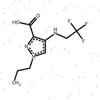 CCCn1cc(NCC(F)(F)F)c(C(=O)O)n1